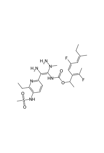 CC\C(C)=C/C(F)=C\C(=C(/C)F)C(C)OC(=O)N/C(=C(/N)c1ccc(NS(C)(=O)=O)c(CC)n1)N(C)N